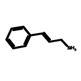 [SiH3]CC=Cc1ccccc1